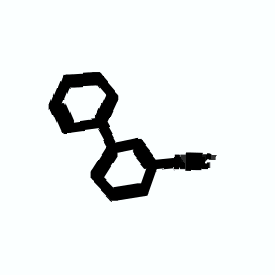 [C-]#[N+]c1cccc(-c2ccccc2)c1